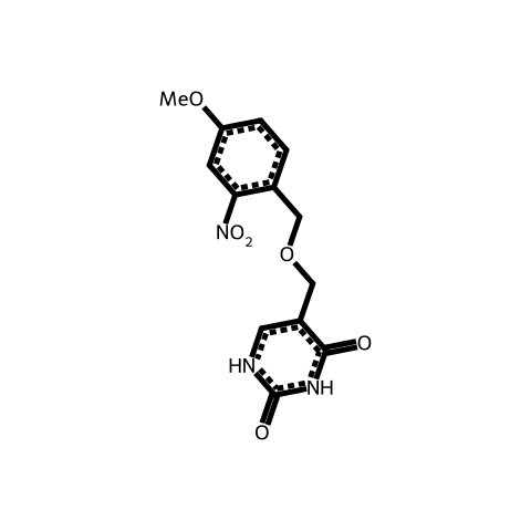 COc1ccc(COCc2c[nH]c(=O)[nH]c2=O)c([N+](=O)[O-])c1